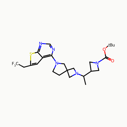 CC(C1CN(C(=O)OC(C)(C)C)C1)N1CC2(CCN(c3ncnc4sc(CC(F)(F)F)cc34)C2)C1